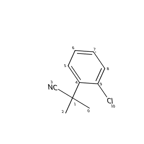 CC(C)(C#N)c1cc[c]cc1Cl